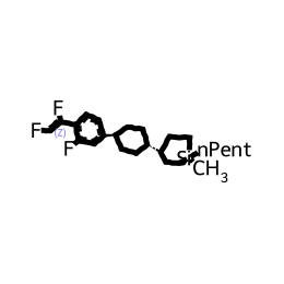 CCCCC[Si]1(C)CCC([C@H]2CC[C@H](c3ccc(/C(F)=C/F)c(F)c3)CC2)CC1